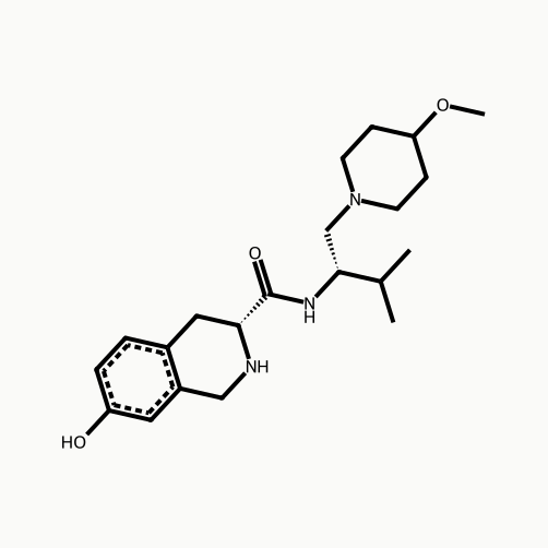 COC1CCN(C[C@@H](NC(=O)[C@H]2Cc3ccc(O)cc3CN2)C(C)C)CC1